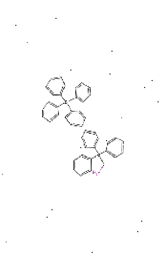 PCC(c1ccccc1)(c1ccccc1)c1ccccc1.c1ccc([B-](c2ccccc2)(c2ccccc2)c2ccccc2)cc1